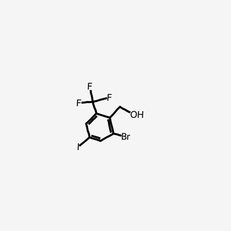 OCc1c(Br)cc(I)cc1C(F)(F)F